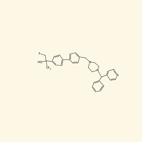 OC(CF)(c1ccc(-c2ccc(CN3CCN(C(c4ccccc4)c4ccncc4)CC3)cc2)cc1)C(F)(F)F